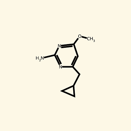 COc1cc(CC2CC2)nc(N)n1